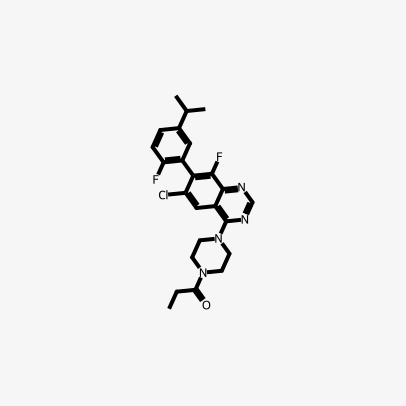 CCC(=O)N1CCN(c2ncnc3c(F)c(-c4cc(C(C)C)ccc4F)c(Cl)cc23)CC1